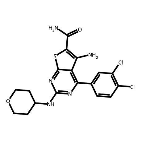 NC(=O)c1sc2nc(NC3CCOCC3)nc(-c3ccc(Cl)c(Cl)c3)c2c1N